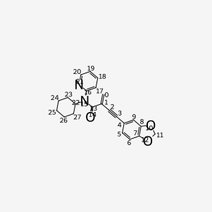 C=C(C#Cc1ccc2c(c1)OCO2)C(=O)N(c1ccccn1)C1CCCCC1